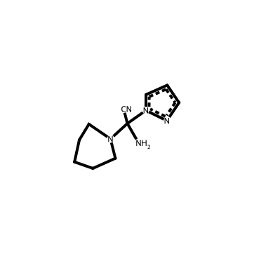 N#CC(N)(N1CCCCC1)n1cccn1